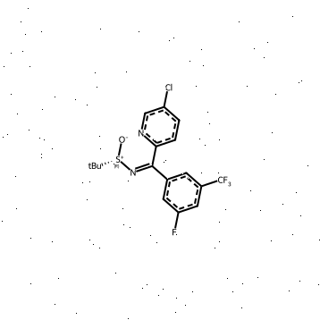 CC(C)(C)[S@+]([O-])N=C(c1cc(F)cc(C(F)(F)F)c1)c1ccc(Cl)cn1